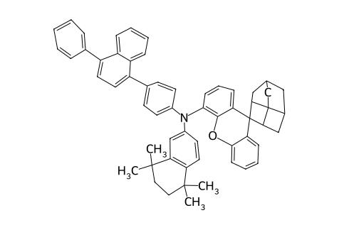 CC1(C)CCC(C)(C)c2cc(N(c3ccc(-c4ccc(-c5ccccc5)c5ccccc45)cc3)c3cccc4c3Oc3ccccc3C43C4CC5CC6CC3C64C5)ccc21